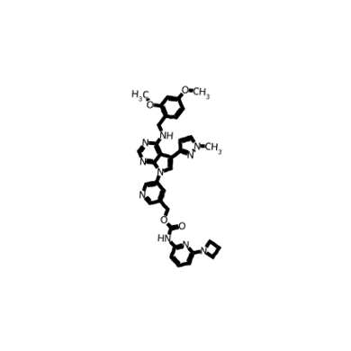 COc1ccc(CNc2ncnc3c2c(-c2ccn(C)n2)cn3-c2cncc(COC(=O)Nc3cccc(N4CCC4)n3)c2)c(OC)c1